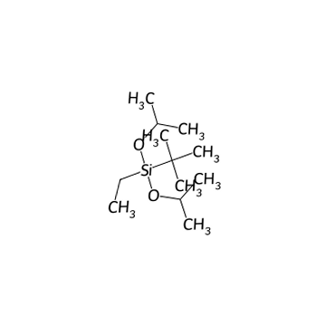 CC[Si](OC(C)C)(OC(C)C)C(C)(C)C